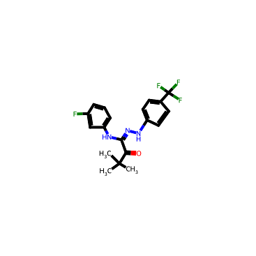 CC(C)(C)C(=O)/C(=N\Nc1ccc(C(F)(F)F)cc1)Nc1cccc(F)c1